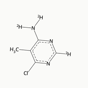 [2H]c1nc(Cl)c(C)c(N([2H])[2H])n1